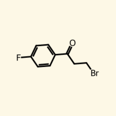 O=C(CCBr)c1ccc(F)cc1